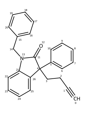 C#CCCC1(c2ccccc2)C(=O)N(Cc2ccccc2)c2ccccc21